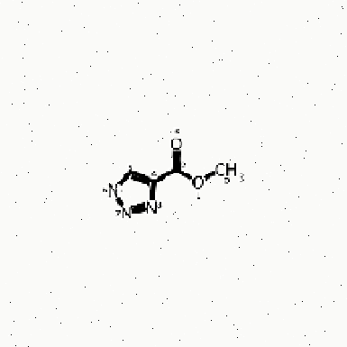 COC(=O)C1=C[N]N=N1